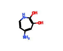 NC1=CC(O)=C(O)NC=C1